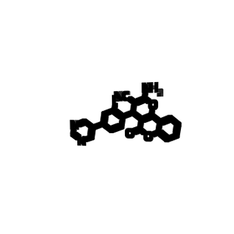 N#CC1=C(N)Oc2c(c(=O)oc3ccccc23)C1c1ccc(-c2cncnc2)cc1F